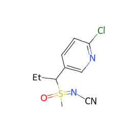 CCC(c1ccc(Cl)nc1)S(C)(=O)=NC#N